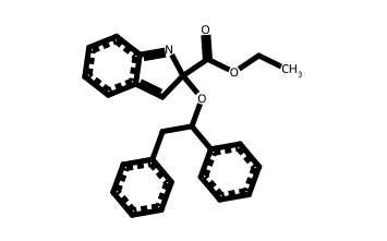 CCOC(=O)C1(OC(Cc2ccccc2)c2ccccc2)C=c2ccccc2=N1